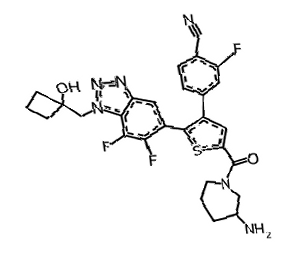 N#Cc1ccc(-c2cc(C(=O)N3CCCC(N)C3)sc2-c2cc3nnn(CC4(O)CCC4)c3c(F)c2F)cc1F